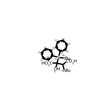 CCCCC(C(=O)O)C(O)(C(=O)O)[Si](c1ccccc1)(c1ccccc1)C(C)(C)C